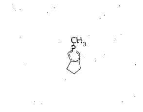 Cp1cc2c(c1)CCC2